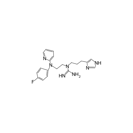 N=C(N)N(CCCc1c[nH]cn1)CCN(c1ccc(F)cc1)c1ccccn1